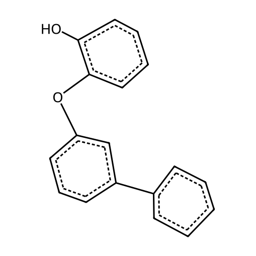 Oc1ccccc1Oc1cccc(-c2ccccc2)c1